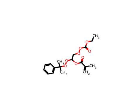 C=C(C)C(=O)OC(COOC(=O)OCC)OOC(C)(C)c1ccccc1